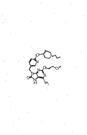 CCCN1CCC(Oc2ccc(Cn3c(=O)[nH]c4c(N)nc(OCCOC)nc43)cn2)CC1